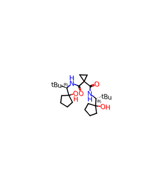 CC(C)(C)[C@@H](NC(=O)C1(C(=O)N[C@H](C(C)(C)C)C2(O)CCCC2)CC1)C1(O)CCCC1